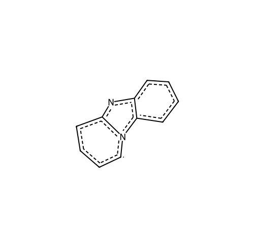 [c]1cccc2nc3ccccc3n12